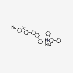 CC1(C)c2cc(C#N)ccc2-c2ccc(-c3ccc4ccc(-c5cccc(C(=N)/N=c6\[nH]cc(-c7ccccc7)cc6-c6ccccc6)c5)cc4c3)cc21